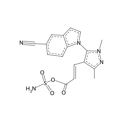 Cc1nn(C)c(-n2ccc3cc(C#N)ccc32)c1C=CC(=O)OS(N)(=O)=O